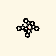 c1ccc2nc(-n3c4ccccc4c4ccc5c6ccccc6n(-c6cccc7c6sc6ccccc67)c5c43)cnc2c1